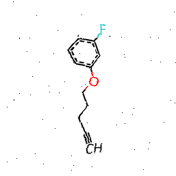 C#CCCCOc1cc[c]c(F)c1